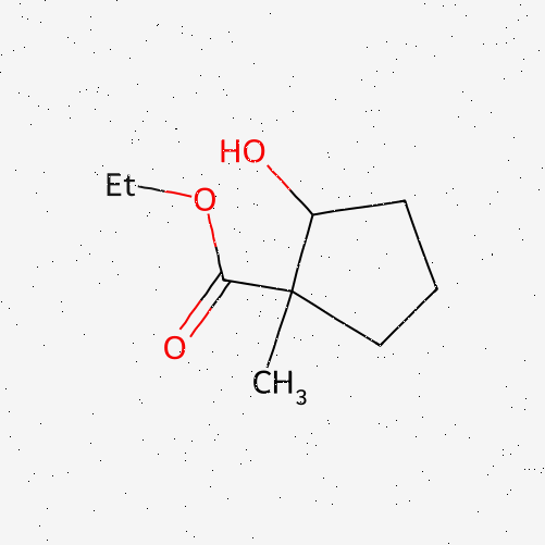 CCOC(=O)C1(C)CCCC1O